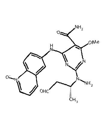 COc1nc(N(N)[C@H](C)CC=O)nc(Nc2ccc3c(ccc[n+]3[O-])c2)c1C(N)=O